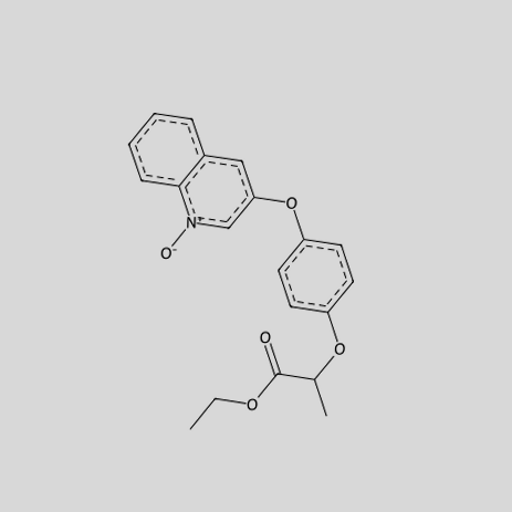 CCOC(=O)C(C)Oc1ccc(Oc2cc3ccccc3[n+]([O-])c2)cc1